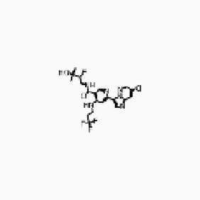 CC(C)(O)C(F)CNC(=O)c1cnc(-c2cnc3cc(Cl)cnn23)cc1NCCC(F)(F)F